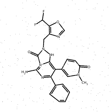 Cn1cc(-c2c(-c3ccccc3)nc(N)[n+]3c(=O)n(Cc4ncoc4C(F)F)[nH]c23)ccc1=O